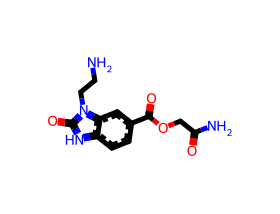 NCCn1c(=O)[nH]c2ccc(C(=O)OCC(N)=O)cc21